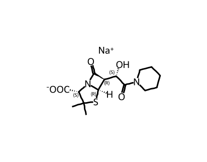 CC1(C)S[C@@H]2[C@H]([C@H](O)C(=O)N3CCCCC3)C(=O)N2[C@H]1C(=O)[O-].[Na+]